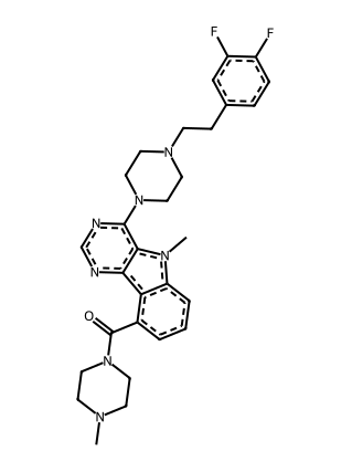 CN1CCN(C(=O)c2cccc3c2c2ncnc(N4CCN(CCc5ccc(F)c(F)c5)CC4)c2n3C)CC1